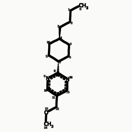 CCCC[C@H]1CC[C@H](c2ncc(COC)cn2)CC1